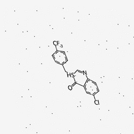 O=C1c2cc(Cl)ccc2N=C[SH]1Cc1ccc(C(F)(F)F)cc1